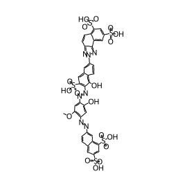 COc1cc(N=Nc2c(S(=O)(=O)O)cc3cc(-n4nc5ccc6c(S(=O)(=O)O)cc(S(=O)(=O)O)cc6c5n4)ccc3c2O)c(O)cc1N=Nc1ccc2cc(S(=O)(=O)O)cc(S(=O)(=O)O)c2c1